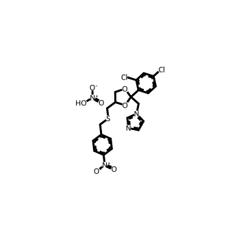 O=[N+]([O-])O.O=[N+]([O-])c1ccc(CSCC2COC(Cn3ccnc3)(c3ccc(Cl)cc3Cl)O2)cc1